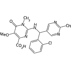 COc1c(C(=O)O)nc(NC(c2cnc(C)nc2)c2ccccc2Cl)n(C)c1=O